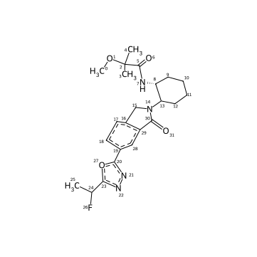 COC(C)(C)C(=O)N[C@@H]1CCCCC1N1Cc2ccc(-c3nnc(C(C)F)o3)cc2C1=O